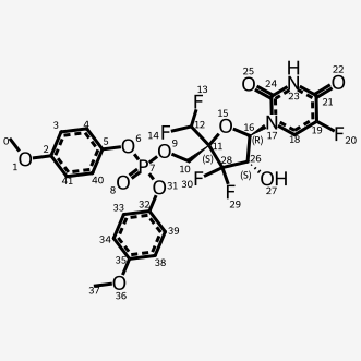 COc1ccc(OP(=O)(OC[C@@]2(C(F)F)O[C@@H](n3cc(F)c(=O)[nH]c3=O)[C@H](O)C2(F)F)Oc2ccc(OC)cc2)cc1